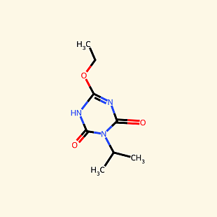 CCOc1nc(=O)n(C(C)C)c(=O)[nH]1